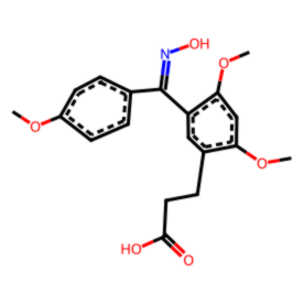 COc1ccc(C(=NO)c2cc(CCC(=O)O)c(OC)cc2OC)cc1